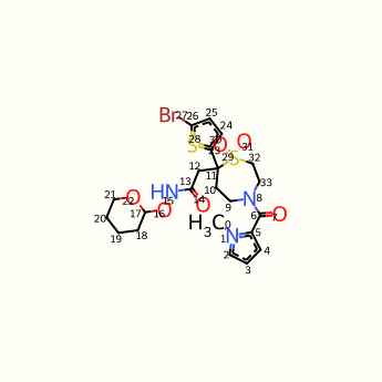 Cn1cccc1C(=O)N1CCC(CC(=O)NOC2CCCCO2)(c2ccc(Br)s2)S(=O)(=O)CC1